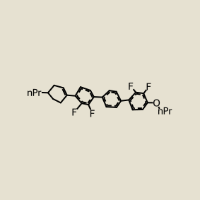 CCCOc1ccc(-c2ccc(-c3ccc(C4=CCC(CCC)CC4)c(F)c3F)cc2)c(F)c1F